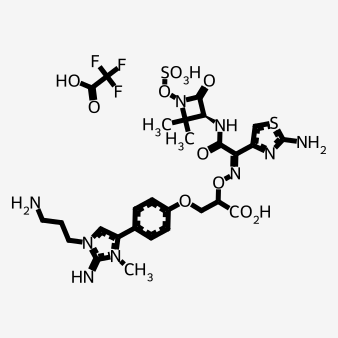 Cn1c(-c2ccc(OCC(O/N=C(\C(=O)N[C@@H]3C(=O)N(OS(=O)(=O)O)C3(C)C)c3csc(N)n3)C(=O)O)cc2)cn(CCCN)c1=N.O=C(O)C(F)(F)F